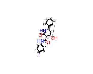 O=C(Nc1ccc(I)cc1)C1=C(O)CC(c2ccccc2)NC1=O